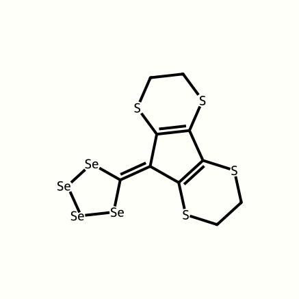 C1CSC2=C(S1)C1=C(SCCS1)C2=C1[Se][Se][Se][Se]1